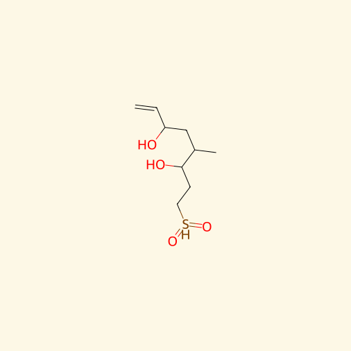 C=CC(O)CC(C)C(O)CC[SH](=O)=O